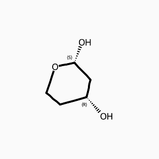 O[C@@H]1CCO[C@H](O)C1